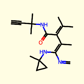 C#CC(C)(C)NC(=O)C(=C(C)C)/C(C)=C(/N=C)NC1(C)CC1